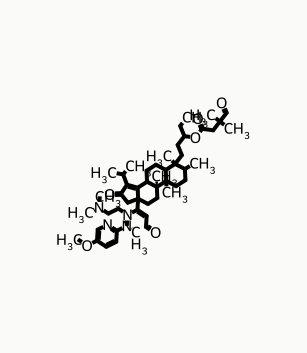 CCC(CCC1(C)C(C)CCC2(C)C1CCC1C3=C(C(C)C)C(=O)CC3(/C(=C/C=O)N(CCN(C)C)N(C)c3ccc(OC)cn3)CC[C@]12C)OC(=O)CC(C)(C)C=O